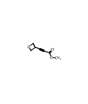 COC(=O)C#CC1COC1